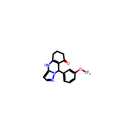 O=C1CCCC2=C1C(c1cccc(OC(F)(F)F)c1)n1nccc1N2